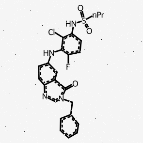 CCCS(=O)(=O)Nc1ccc(F)c(Nc2ccc3ncn(Cc4ccccc4)c(=O)c3c2)c1Cl